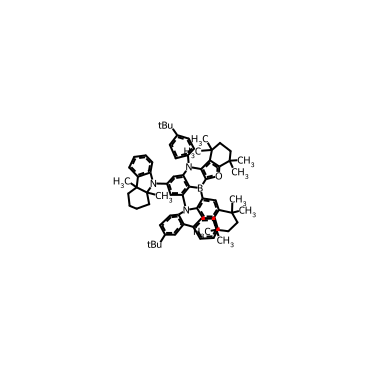 CC(C)(C)c1ccc(N2c3cc(N4c5ccccc5C5(C)CCCCC45C)cc4c3B(c3cc5c(cc3N4c3ccc(C(C)(C)C)cc3-c3ccccc3)C(C)(C)CCC5(C)C)c3oc4c(c32)C(C)(C)CCC4(C)C)cc1